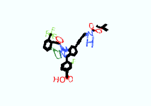 CC(C)(C)OC(=O)NCC#Cc1ccc2c(-c3ccc(C(=O)O)cc3F)nn(C(=O)c3c(Cl)cccc3C(F)(F)F)c2c1